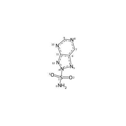 NS(=O)(=O)n1nc2cncnc2n1